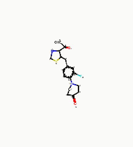 O=CC(=O)C1NCSC1Cc1ccc(N2CCC(=O)CC2)c(F)c1